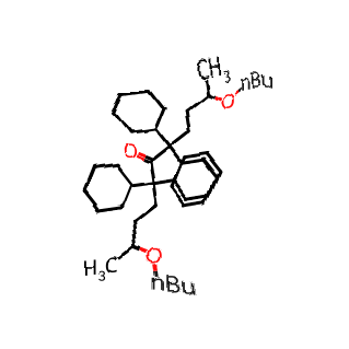 CCCCOC(C)CCC(C(=O)C(CCC(C)OCCCC)(C1CCCCC1)C1CCCCC1)(C1CCCCC1)C1CCCCC1